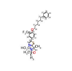 CC1(C)OCC(C)(c2ncc(-c3ccc(OCCCCCCc4ccccc4)c(C(F)(F)F)c3)s2)N1C(=O)O